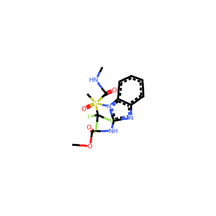 CNC(=O)S(C)(=O)(n1c(NC(=O)OC)nc2ccccc21)C(F)(F)F